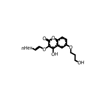 CCCCCCC=COc1c(O)c2cc(OCCCO)ccc2oc1=O